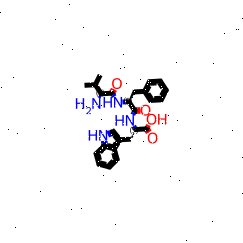 CC(C)[C@H](N)C(=O)N[C@@H](Cc1ccccc1)C(=O)N[C@@H](Cc1c[nH]c2ccccc12)C(=O)O